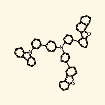 c1cc(-c2cccc3oc4c5ccccc5ccc4c23)cc(N(c2ccc(-c3cccc(-n4c5ccccc5c5ccccc54)c3)cc2)c2ccc(-c3ccc4sc5ccccc5c4c3)cc2)c1